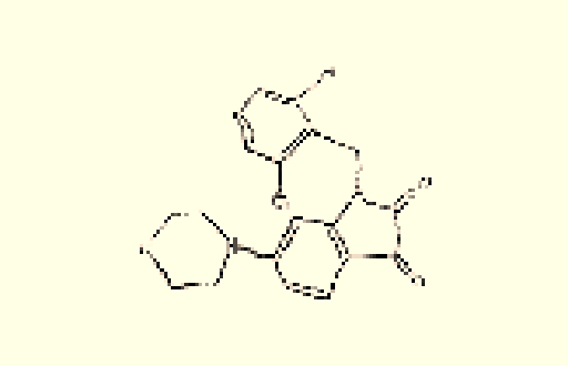 O=C1C(=O)N(Cc2c(Cl)cccc2Cl)c2cc(N3CCOCC3)ccc21